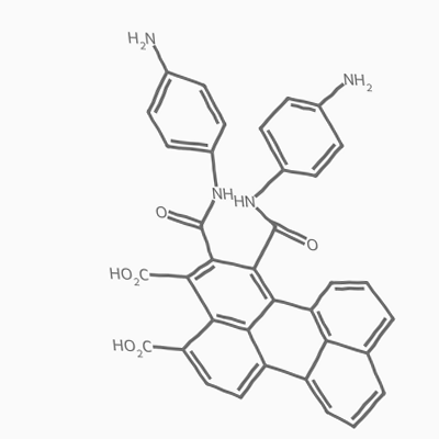 Nc1ccc(NC(=O)c2c(C(=O)O)c3c(C(=O)O)ccc4c5cccc6cccc(c(c2C(=O)Nc2ccc(N)cc2)c34)c65)cc1